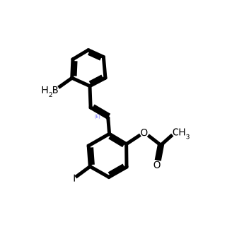 Bc1ccccc1/C=C/c1cc(I)ccc1OC(C)=O